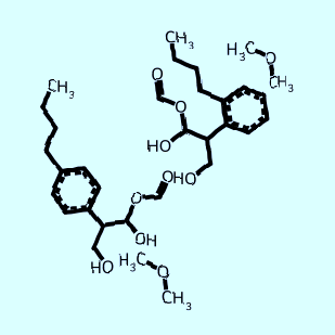 CCCCc1ccc(C(CO)C(O)OC=O)cc1.CCCCc1ccccc1C(CO)C(O)OC=O.COC.COC